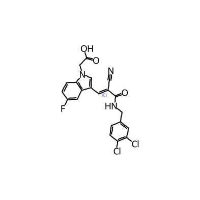 N#C/C(=C\c1cn(CC(=O)O)c2ccc(F)cc12)C(=O)NCc1ccc(Cl)c(Cl)c1